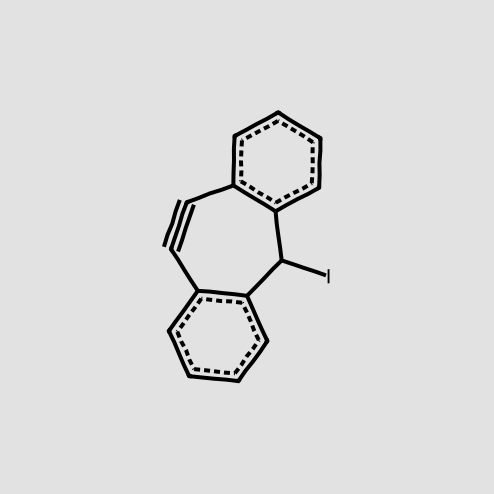 IC1c2ccccc2C#Cc2ccccc21